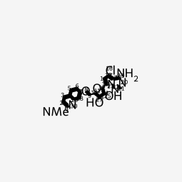 CNc1ccc2ccc(OC[C@H]3O[C@@H](c4cc(Cl)c5c(N)ncnn45)[C@H](O)[C@@H]3O)cc2n1